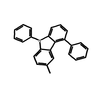 Cc1ccc2c(c1)c1c(-c3ccccc3)cccc1n2-c1ccccc1